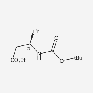 CCOC(=O)C[C@H](NC(=O)OC(C)(C)C)C(C)C